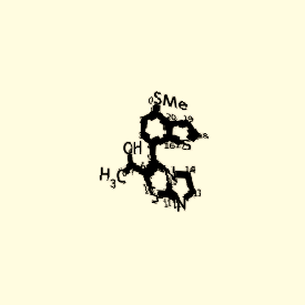 CSc1ccc(C2=C(C(C)O)SC3=NCCN32)c2sccc12